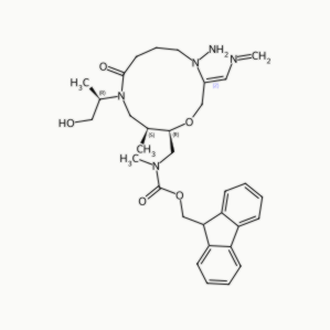 C=N/C=C1/CO[C@@H](CN(C)C(=O)OCC2c3ccccc3-c3ccccc32)[C@@H](C)CN([C@H](C)CO)C(=O)CCCN1N